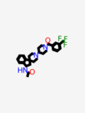 CC(=O)N[C@H]1CC2(CCN(C3CCN(C(=O)c4cccc(C(F)(F)F)c4)CC3)CC2)c2ccccc21